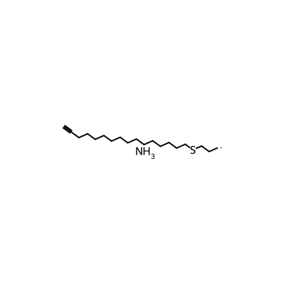 C#CCCCCCCCCCCCCCCSCC[CH2].N